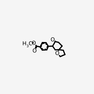 COC(=O)c1ccc(C2CC3(CCCO3)CCC2=O)cc1